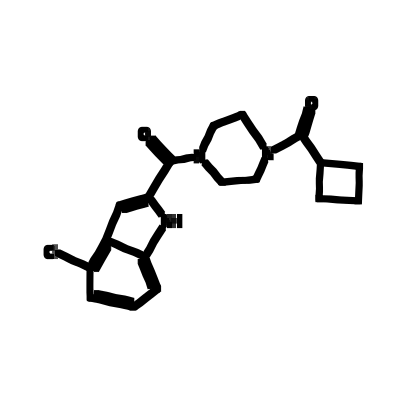 O=C(c1cc2c(Cl)cccc2[nH]1)N1CCN(C(=O)C2CCC2)CC1